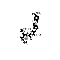 CC(C)(O/N=C(\C(=O)N[C@@H]1C(=O)N2C(C(=O)[O-])=C(C[n+]3ccc4c(ccn4Cc4ccc(C(=N)N)cc4F)c3)CS[C@H]12)c1nc(N)sc1Cl)C(=O)O